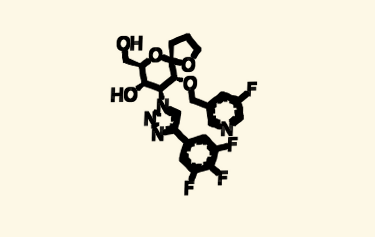 OC[C@H]1O[C@@]2(CCCO2)[C@H](OCc2cncc(F)c2)[C@@H](n2cc(-c3cc(F)c(F)c(F)c3)nn2)[C@H]1O